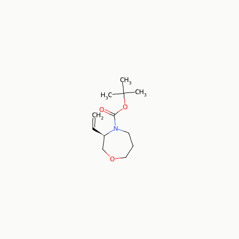 C=C[C@@H]1COCCCN1C(=O)OC(C)(C)C